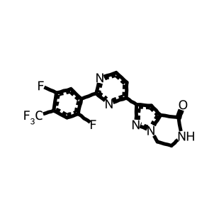 O=C1NCCn2nc(-c3ccnc(-c4cc(F)c(C(F)(F)F)cc4F)n3)cc21